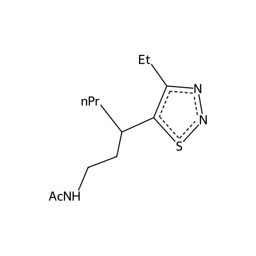 CCCC(CCNC(C)=O)c1snnc1CC